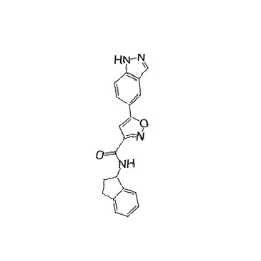 O=C(NC1CCc2ccccc21)c1cc(-c2ccc3[nH]ncc3c2)on1